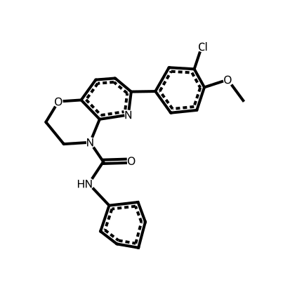 COc1ccc(-c2ccc3c(n2)N(C(=O)Nc2ccccc2)CCO3)cc1Cl